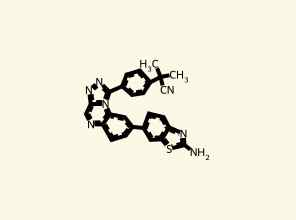 CC(C)(C#N)c1ccc(-c2nnc3cnc4ccc(-c5ccc6nc(N)sc6c5)cc4n23)cc1